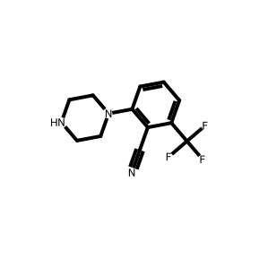 N#Cc1c(N2CCNCC2)cccc1C(F)(F)F